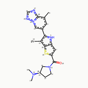 Cc1cc(-c2[nH]c3cc(C(=O)N4CC[C@@H](N(C)C)C4)sc3c2C(C)C)cn2ncnc12